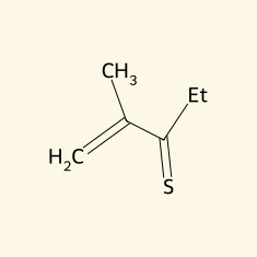 C=C(C)C(=S)CC